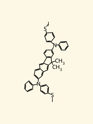 CC1(C)c2cc(N(c3ccccc3)c3ccc(SI)cc3)ccc2-c2cc3ccc(N(c4ccccc4)c4ccc(SI)cc4)cc3cc21